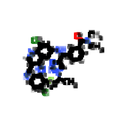 CC(C)n1cc(C(Nc2cc(Cl)c3ncc(C#N)c(Nc4cccc(Cl)c4F)c3c2)c2cccc(C(=O)N(C)C)c2)nn1